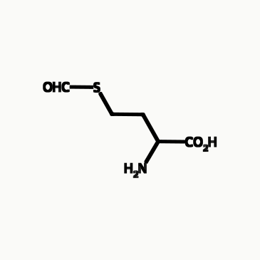 NC(CCSC=O)C(=O)O